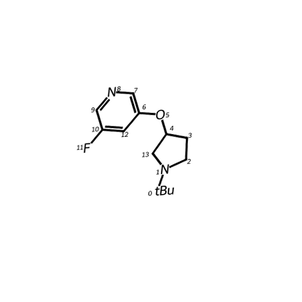 CC(C)(C)N1CCC(Oc2cncc(F)c2)C1